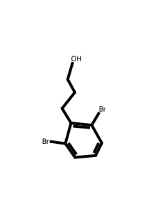 OCCCc1c(Br)cccc1Br